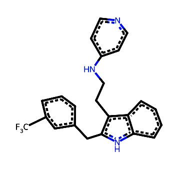 FC(F)(F)c1cccc(Cc2[nH]c3ccccc3c2CCNc2ccncc2)c1